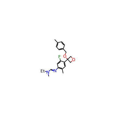 CCN(C)C=Nc1cc(F)c(C2(OCc3ccc(C)cc3)COC2)cc1C